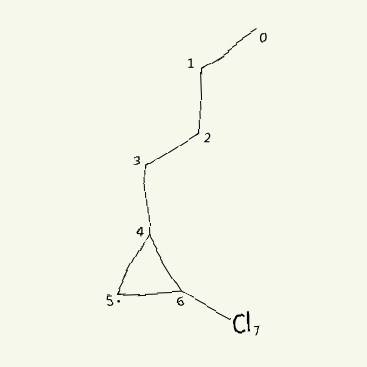 CCCCC1[CH]C1Cl